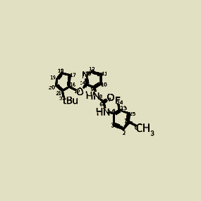 Cc1ccc(NC(=O)Nc2cccnc2Oc2ccccc2C(C)(C)C)c(F)c1